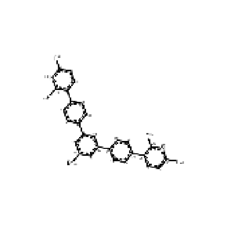 Fc1ccc(-c2ccc(-c3cc(Br)cc(-c4ccc(-c5ccc(F)nc5F)cc4)c3)cc2)c(F)n1